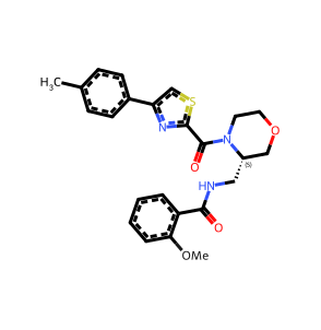 COc1ccccc1C(=O)NC[C@H]1COCCN1C(=O)c1nc(-c2ccc(C)cc2)cs1